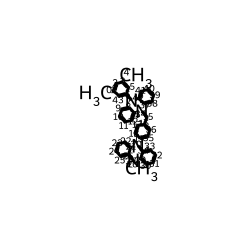 Cc1cc(C)cc(N2c3ccccc3N(Cc3ccc(N4c5ccccc5N(C)c5ccccc54)cc3)c3ccccc32)c1